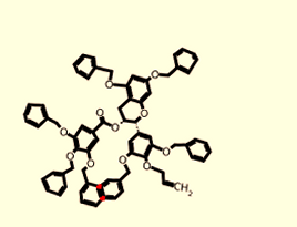 C=CCOc1c(OCc2ccccc2)cc([C@H]2Oc3cc(OCc4ccccc4)cc(OCc4ccccc4)c3C[C@H]2OC(=O)c2cc(OCc3ccccc3)c(OCc3ccccc3)c(OCc3ccccc3)c2)cc1OCc1ccccc1